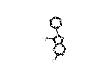 Nc1c2nc(Cl)ncc2nn1-c1ccccc1